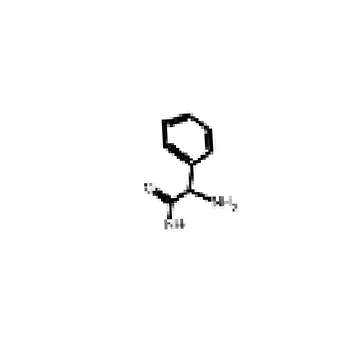 [NH]C(=O)C(N)c1ccccc1